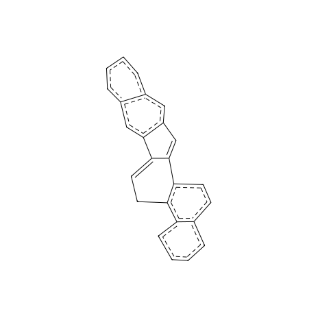 C1=C2C(=Cc3cc4ccccc4cc32)c2ccc3ccccc3c2C1